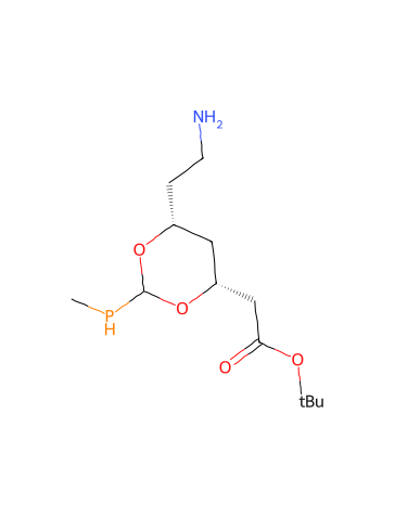 CPC1O[C@H](CCN)C[C@H](CC(=O)OC(C)(C)C)O1